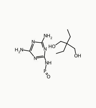 CCC(CC)(CO)CO.Nc1nc(N)nc(NP=O)n1